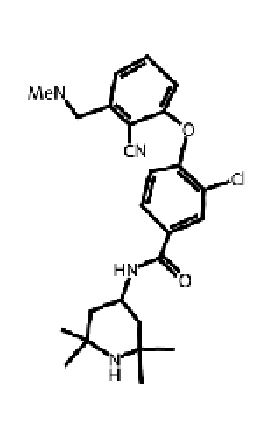 CNCc1cccc(Oc2ccc(C(=O)NC3CC(C)(C)NC(C)(C)C3)cc2Cl)c1C#N